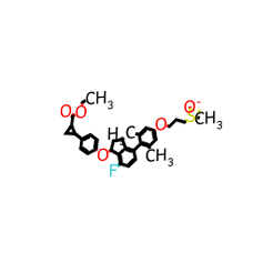 CCOC(=O)C1CC1c1ccc(OC2CCc3c(-c4c(C)cc(OCCC[S+](C)[O-])cc4C)ccc(F)c32)cc1